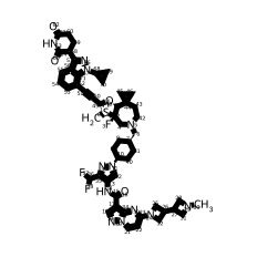 C=[SH][C@@]1(F)CN(C[C@H]2CC[C@H](n3cc(NC(=O)c4cnn5ccc(N6CC(C7CN(C)C7)C6)nc45)c(C(F)F)n3)CC2)CCC2(CC2)[C@H]1OCC#Cc1cccc2c(C3CCC(=O)NC3=O)nn(C3CC3)c12